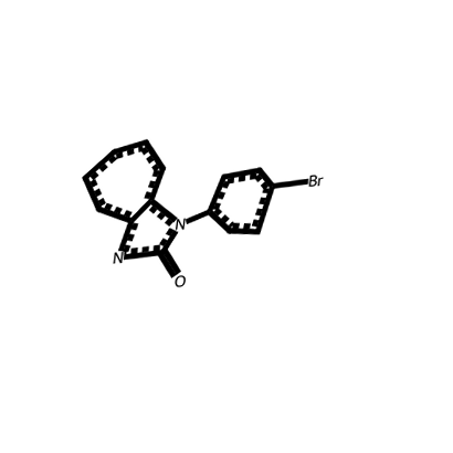 O=c1nc2cccccc-2n1-c1ccc(Br)cc1